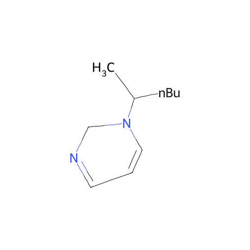 CCCCC(C)N1C=CC=NC1